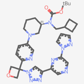 CC(C)(C)OC(=O)N(CC1CCC1)[C@@H]1CCCN(c2ccc(C3(n4cc(-c5cncc(-n6cccn6)n5)nn4)COC3)nc2)C1